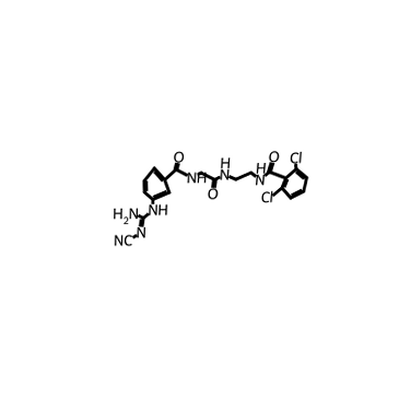 N#C/N=C(\N)Nc1cccc(C(=O)NCC(=O)NCCNC(=O)c2c(Cl)cccc2Cl)c1